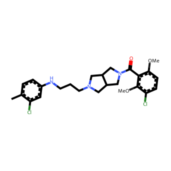 COc1ccc(Cl)c(OC)c1C(=O)N1CC2CN(CCCNc3ccc(C)c(Cl)c3)CC2C1